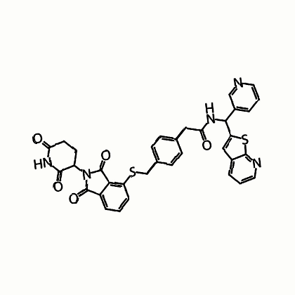 O=C1CCC(N2C(=O)c3cccc(SCc4ccc(CC(=O)NC(c5cccnc5)c5cc6cccnc6s5)cc4)c3C2=O)C(=O)N1